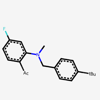 CC(=O)c1ccc(F)cc1N(C)Cc1ccc(C(C)(C)C)cc1